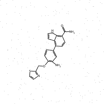 NC(=O)c1ccc(-c2ccc(OCc3nccs3)c(N)c2)c2cc[nH]c12